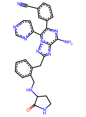 N#Cc1cccc(-c2nc(N)c3nc(Cc4ccccc4CNC4CCNC4=O)nn3c2-c2ccncn2)c1